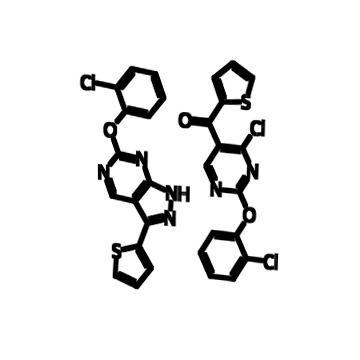 Clc1ccccc1Oc1ncc2c(-c3cccs3)n[nH]c2n1.O=C(c1cccs1)c1cnc(Oc2ccccc2Cl)nc1Cl